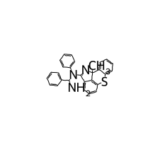 CC12N=C(N(c3ccccc3)C(N)c3ccccc3)c3cccc(c31)Sc1ccccc12